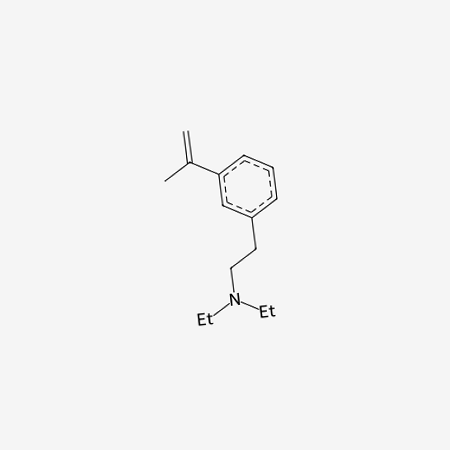 C=C(C)c1cccc(CCN(CC)CC)c1